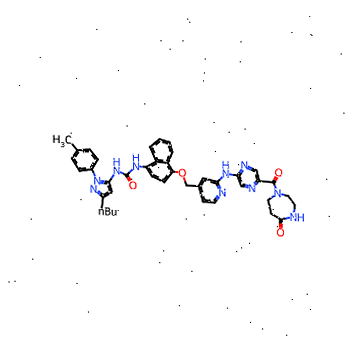 CCCCc1cc(NC(=O)Nc2ccc(OCc3ccnc(Nc4cnc(C(=O)N5CCNC(=O)CC5)cn4)c3)c3ccccc23)n(-c2ccc(C)cc2)n1